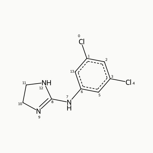 Clc1cc(Cl)cc(NC2=NCCN2)c1